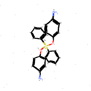 Nc1ccc(OS(Oc2ccc(N)cc2)(c2ccccc2)c2ccccc2)cc1